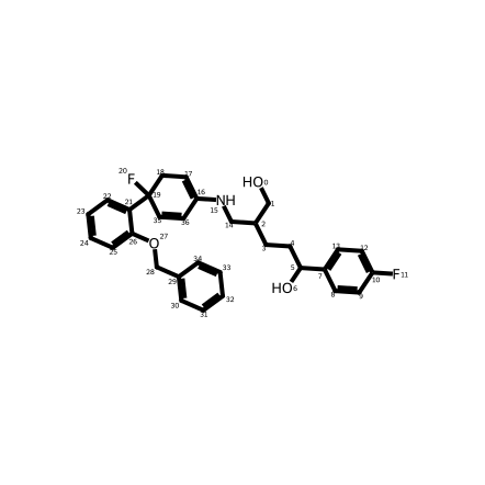 OCC(CCC(O)c1ccc(F)cc1)CNC1=CCC(F)(c2ccccc2OCc2ccccc2)C=C1